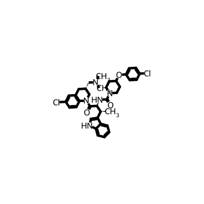 C[C@H](c1c[nH]c2ccccc12)[C@@H](NC(=O)N1CCC(Oc2ccc(Cl)cc2)CC1)C(=O)N1C[C@@H](CN(C)C)Cc2cc(Cl)ccc21